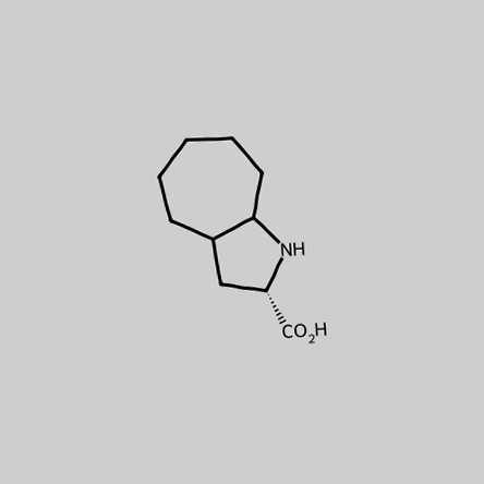 O=C(O)[C@@H]1CC2CCCCCC2N1